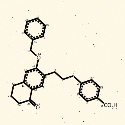 O=C(O)c1ccc(CCCc2cc3c(cc2OCc2ccccc2)CCCC3=O)cc1